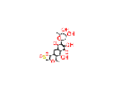 CC1OC2CS(=O)OC2c2cc3c(c(O)c21)C(=O)C(O)=C(C1CC(O)C(O)C(C)O1)C3=O